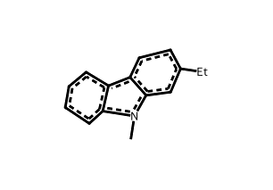 CCc1ccc2c3ccccc3n(C)c2c1